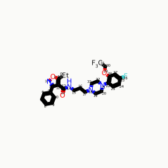 CCc1onc(-c2ccccc2)c1C(=O)NCCCN1CCN(c2ccc(F)cc2OCC(F)(F)F)CC1